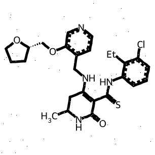 CCc1c(Cl)cccc1NC(=S)C1=C(NCc2ccncc2OC[C@@H]2CCCO2)CC(C)NC1=O